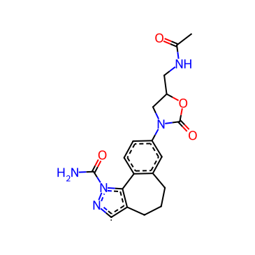 CC(=O)NCC1CN(c2ccc3c(c2)CCCc2[c]nn(C(N)=O)c2-3)C(=O)O1